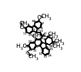 COc1ccc(C2(c3ccc(OC)cc3)C=Cc3c4c(c5cc(SC)c(C)cc5c3O2)-c2ccccc2C42CC(C)(C)CC(C)(C)C2)cc1